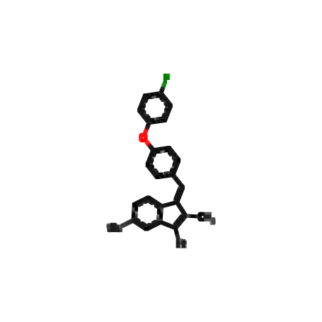 CCC1=C(C)/C(=C/c2ccc(Oc3ccc(F)cc3)cc2)c2ccc(C(C)(C)C)cc21